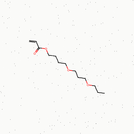 C=CC(=O)OCCCCOCCCOCCC